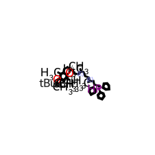 C/C(=C\CC[C@]1(C)CCc2c(C)c(O[Si](C)(C)C(C)(C)C)c(C)c(C)c2O1)CC/C=C(\C)CCC[PH](c1ccccc1)(c1ccccc1)c1ccccc1